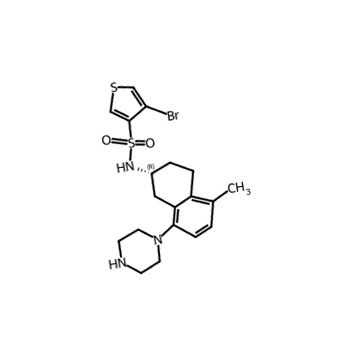 Cc1ccc(N2CCNCC2)c2c1CC[C@@H](NS(=O)(=O)c1cscc1Br)C2